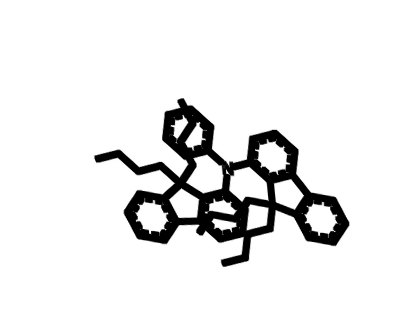 CCCCC1(CCCC)c2ccccc2-c2cccc(N(c3ccccc3)c3cccc4c3C(CCCC)(CCCC)c3ccccc3-4)c21